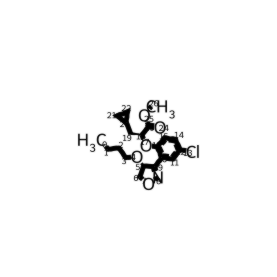 CCCCO[C@@H]1CON=C1c1cc(Cl)ccc1O[C@@H](CC1CC1)C(=O)OC